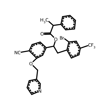 CC(C(=O)OC(Cc1ccc(C(F)(F)F)cc1Br)c1ccc(C#N)c(OCc2cccnc2)c1)c1ccccc1